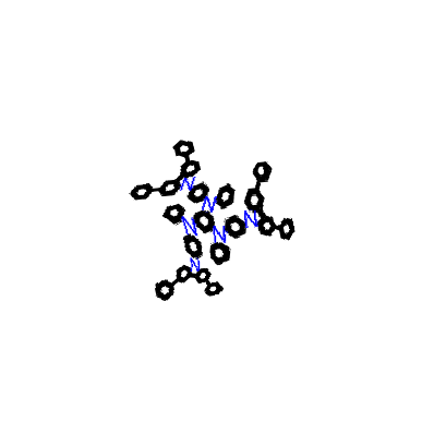 c1ccc(-c2ccc3c(c2)c2cc(-c4ccccc4)ccc2n3-c2ccc(N(c3ccccc3)c3cc(N(c4ccccc4)c4ccc(-n5c6ccc(-c7ccccc7)cc6c6cc(-c7ccccc7)ccc65)cc4)cc(N(c4ccccc4)c4ccc(-n5c6ccc(-c7ccccc7)cc6c6cc(-c7ccccc7)ccc65)cc4)c3)cc2)cc1